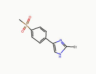 CCc1nc(-c2ccc(S(C)(=O)=O)cc2)c[nH]1